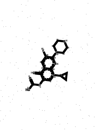 O=C(O)Oc1cn(C2CC2)c2nc(N3CCSCC3)c(F)cc2c1=O